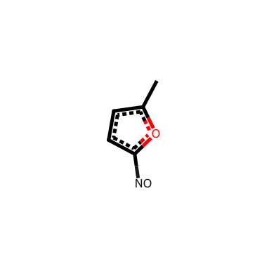 Cc1ccc(N=O)o1